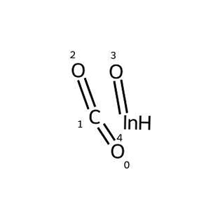 O=C=O.[O]=[InH]